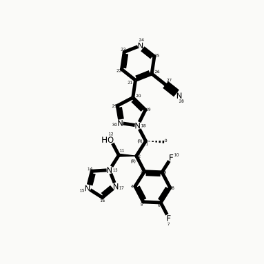 C[C@H]([C@@H](c1ccc(F)cc1F)C(O)n1cncn1)n1cc(-c2ccncc2C#N)cn1